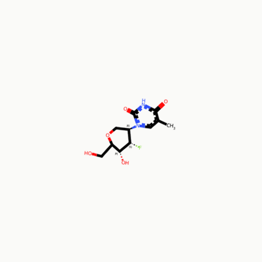 Cc1cn([C@@H]2COC(CO)[C@@H](O)[C@H]2F)c(=O)[nH]c1=O